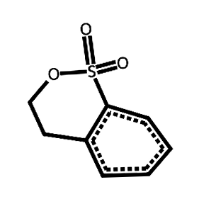 O=S1(=O)OCCc2ccccc21